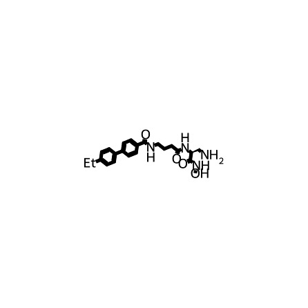 CCc1ccc(-c2ccc(C(=O)NCCCC(=O)N[C@@H](CN)C(=O)NO)cc2)cc1